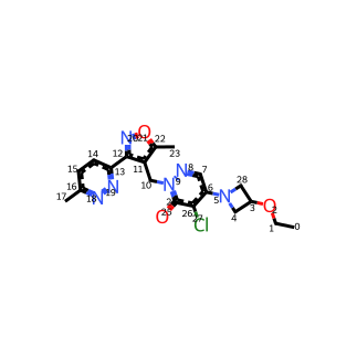 CCOC1CN(c2cnn(Cc3c(-c4ccc(C)nn4)noc3C)c(=O)c2Cl)C1